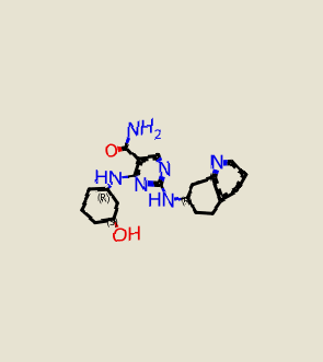 NC(=O)c1cnc(N[C@@H]2CCc3cccnc3C2)nc1N[C@@H]1CCC[C@H](O)C1